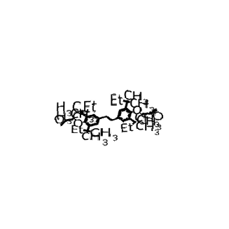 CCC(C)(C)c1cc(CCc2cc(C(C)(C)CC)c(OC(C)C3CO3)c(C(C)(C)CC)c2)cc(C(C)(C)CC)c1OC(C)C1CO1